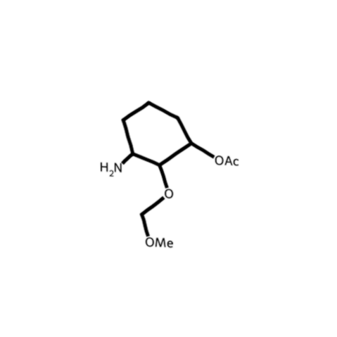 COCOC1C(N)CCCC1OC(C)=O